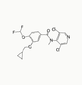 CN(C(=O)c1ccc(OC(F)F)c(OCC2CC2)c1)c1c(Cl)cncc1Cl